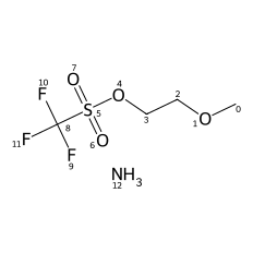 COCCOS(=O)(=O)C(F)(F)F.N